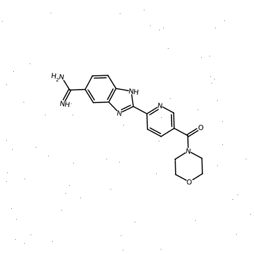 N=C(N)c1ccc2[nH]c(-c3ccc(C(=O)N4CCOCC4)cn3)nc2c1